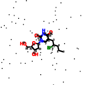 CCCC(Br)Cc1cn([C@H]2C[C@H](O)[C@@H](CO)O2)c(=O)[nH]c1=O